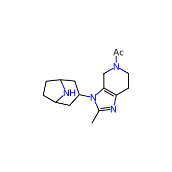 CC(=O)N1CCc2nc(C)n(C3CC4CCC(C3)N4)c2C1